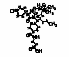 CCCCC(c1ccc(C(=O)NCCC(=O)O)cc1)N1C(=O)C(c2ccc(Cl)cc2)=NC12CCC(C(C)(C)C)CC2